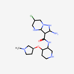 CN1CC[C@H](OC2CCNCC2NC(=O)C2C(N)NN3CC(Cl)CNC23)C1